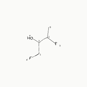 CC(F)[C](O)CF